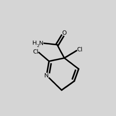 NC(=O)C1(Cl)C=CCN=C1Cl